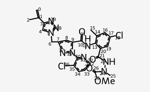 C=C(C)c1cn(Cc2cc(C(=O)Nc3c(C)cc(Cl)cc3C(=O)NN(C)C(=O)OC)n(-c3ncccc3Cl)n2)nn1